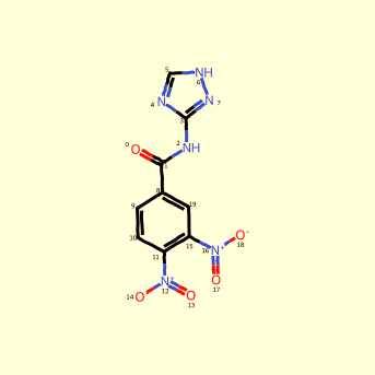 O=C(Nc1nc[nH]n1)c1ccc([N+](=O)[O-])c([N+](=O)[O-])c1